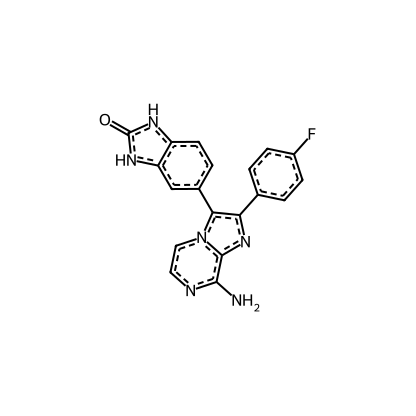 Nc1nccn2c(-c3ccc4[nH]c(=O)[nH]c4c3)c(-c3ccc(F)cc3)nc12